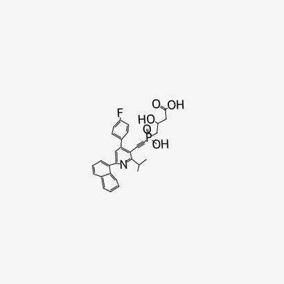 CC(C)c1nc(-c2cccc3ccccc23)cc(-c2ccc(F)cc2)c1C#CP(=O)(O)CC(O)CC(=O)O